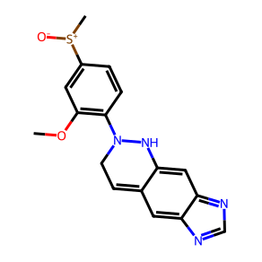 COc1cc([S+](C)[O-])ccc1N1CC=c2cc3c(cc2N1)=NC=N3